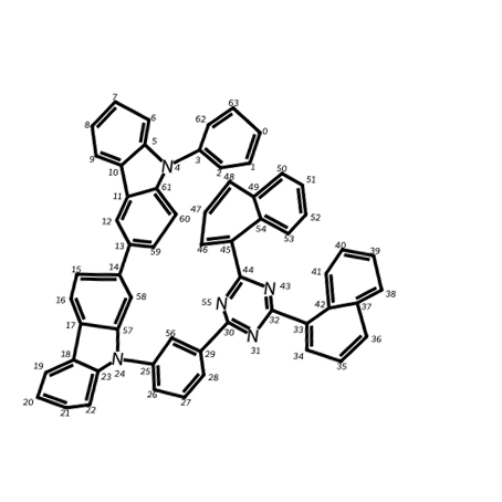 c1ccc(-n2c3ccccc3c3cc(-c4ccc5c6ccccc6n(-c6cccc(-c7nc(-c8cccc9ccccc89)nc(-c8cccc9ccccc89)n7)c6)c5c4)ccc32)cc1